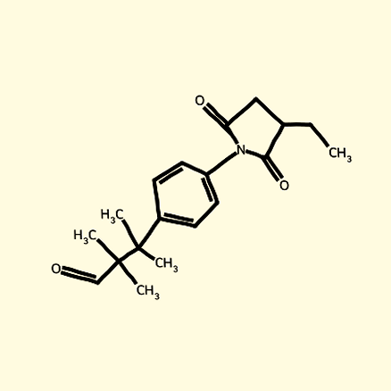 CCC1CC(=O)N(c2ccc(C(C)(C)C(C)(C)C=O)cc2)C1=O